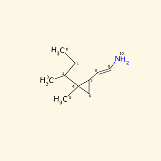 CCC(C)C1(C)CC1/C=C/N